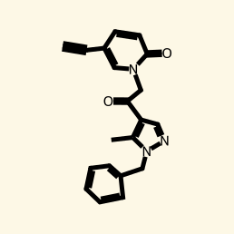 C#Cc1ccc(=O)n(CC(=O)c2cnn(Cc3ccccc3)c2C)c1